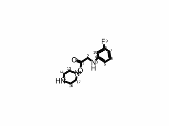 O=C(CNc1cccc(F)c1)ON1CCNCC1